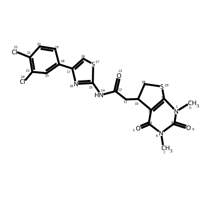 Cn1c2c(c(=O)n(C)c1=O)C(CC(=O)Nc1nc(-c3ccc(Cl)c(Cl)c3)cs1)CS2